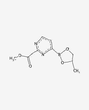 COC(=O)c1nccc(B2OCC(C)O2)n1